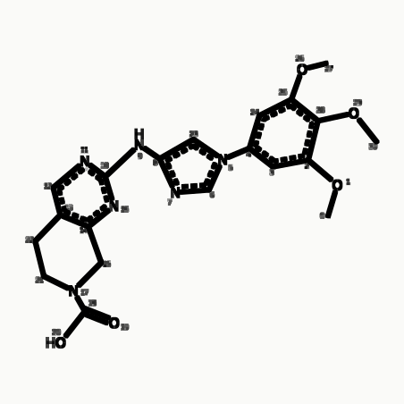 COc1cc(-n2cnc(Nc3ncc4c(n3)CN(C(=O)O)CC4)c2)cc(OC)c1OC